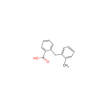 Cc1ccccc1Cc1ccccc1C(=O)O